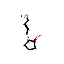 CCC=CC[C@H]1[CH]CCC1=O